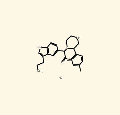 Cc1ccc(C2CNCCN2C(C(=O)O)c2ccc3[nH]cc(CCN)c3c2)cc1.Cl